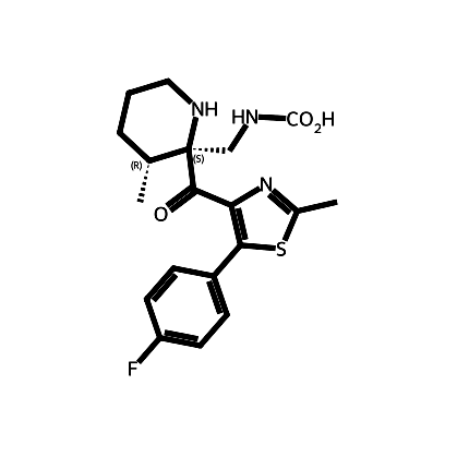 Cc1nc(C(=O)[C@]2(CNC(=O)O)NCCC[C@H]2C)c(-c2ccc(F)cc2)s1